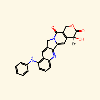 CC[C@@]1(O)C(=O)OCc2c1cc1n(c2=O)Cc2cc3c(Nc4ccccc4)cccc3nc2-1